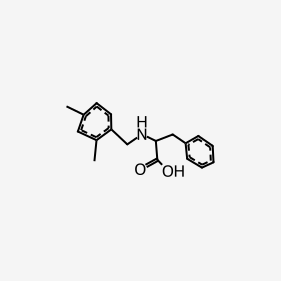 Cc1ccc(CNC(Cc2ccccc2)C(=O)O)c(C)c1